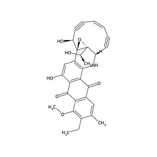 CCc1c(C)cc2c(c1OC)C(=O)c1c(O)cc3c(c1C2=O)N[C@H]1C#C/C=C\C#C[C@H](O)[C@@]32O[C@@]12[C@@H](C)O